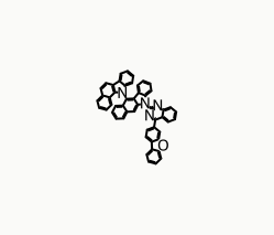 c1ccc2c(-n3c4ccccc4c4ccc5ccccc5c43)c3c4ccccc4n(-c4nc(-c5ccc6c(c5)oc5ccccc56)c5ccccc5n4)c3cc2c1